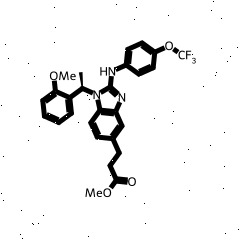 COC(=O)CCc1ccc2c(c1)nc(Nc1ccc(OC(F)(F)F)cc1)n2[C@H](C)c1ccccc1OC